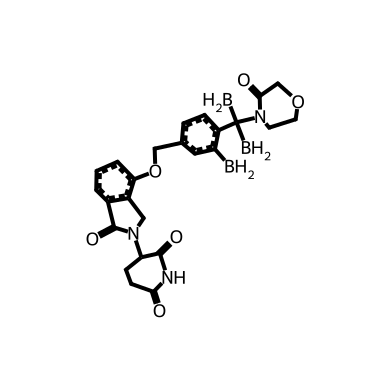 Bc1cc(COc2cccc3c2CN(C2CCC(=O)NC2=O)C3=O)ccc1C(B)(B)N1CCOCC1=O